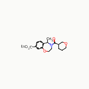 CCOC(=O)c1ccc2c(c1)OCCN(C(=O)C1CCCOC1)C2C